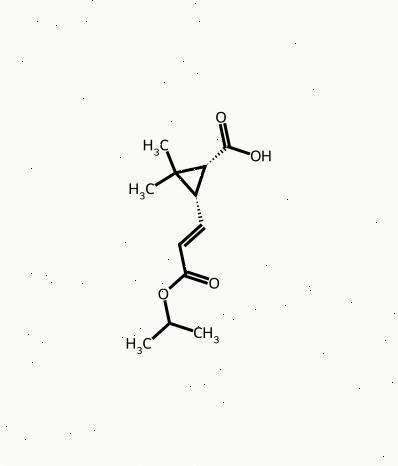 CC(C)OC(=O)C=C[C@H]1[C@@H](C(=O)O)C1(C)C